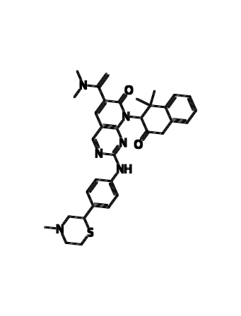 C=C(c1cc2cnc(Nc3ccc(C4CN(C)CCS4)cc3)nc2n(C2C(=O)Cc3ccccc3C2(C)C)c1=O)N(C)C